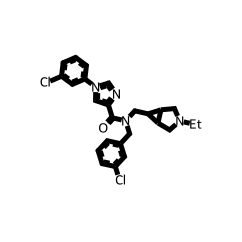 CCN1CC2C(C1)C2CN(Cc1cccc(Cl)c1)C(=O)c1cn(-c2cccc(Cl)c2)cn1